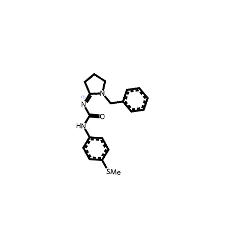 CSc1ccc(NC(=O)/N=C2/CCCN2Cc2ccccc2)cc1